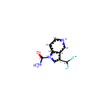 NC(=O)n1cc(C(F)F)c2cnccc21